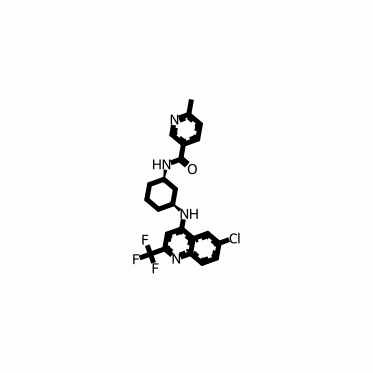 Cc1ccc(C(=O)N[C@@H]2CCC[C@H](Nc3cc(C(F)(F)F)nc4ccc(Cl)cc34)C2)cn1